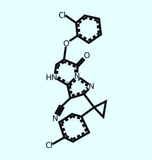 N#Cc1c(C2(c3ccc(Cl)cc3)CC2)nn2c(=O)c(Oc3ccccc3Cl)c[nH]c12